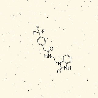 O=C(Cc1ccc(C(F)(F)F)cc1)NCCn1c(=O)[nH]c2ccccc21